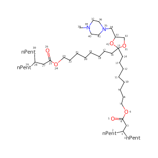 CCCCCC(CCCCC)CC(=O)OCCCCCCCCC1(CCCCCCCCOC(=O)CC(CCCCC)CCCCC)OCC(CN2CCN(C)CC2)O1